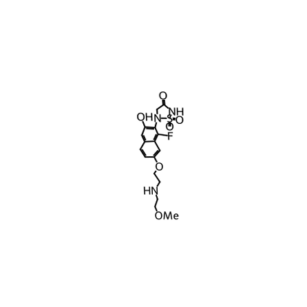 COCCNCCOc1ccc2cc(O)c(N3CC(=O)NS3(=O)=O)c(F)c2c1